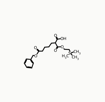 C[Si](C)(C)CCOC(=O)C(CCCCC(=O)OCc1ccccc1)C(=O)O